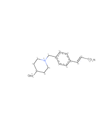 O=CC1CCN(Cc2ccc(/C=C/C(=O)O)cc2)CC1